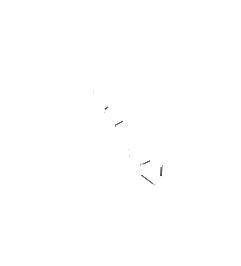 CCOC(=O)SC(=S)CCCc1ccccc1